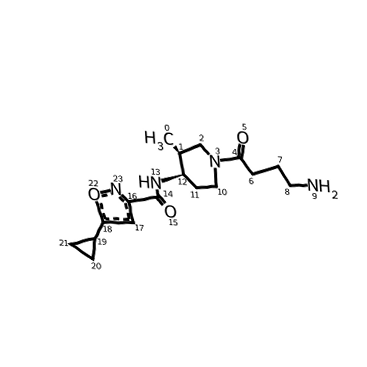 C[C@H]1CN(C(=O)CCCN)CC[C@H]1NC(=O)c1cc(C2CC2)on1